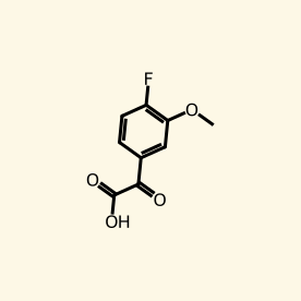 COc1cc(C(=O)C(=O)O)ccc1F